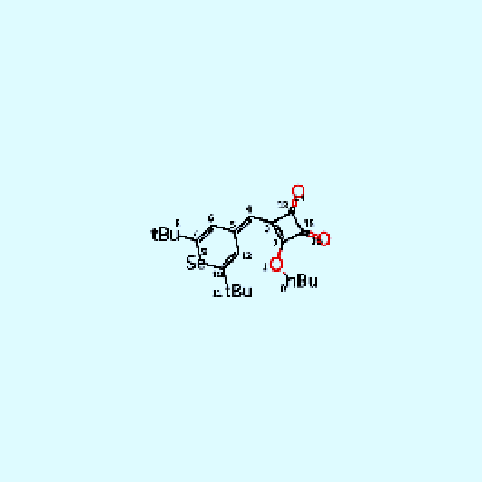 CCCCOc1c(C=C2C=C(C(C)(C)C)[Se]C(C(C)(C)C)=C2)c(=O)c1=O